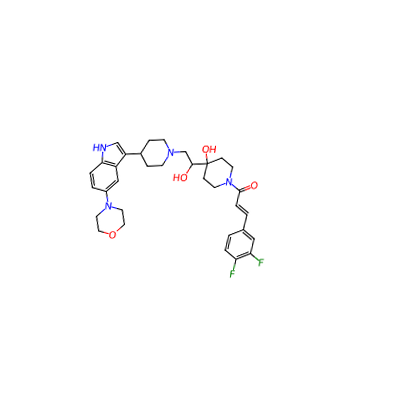 O=C(C=Cc1ccc(F)c(F)c1)N1CCC(O)(C(O)CN2CCC(c3c[nH]c4ccc(N5CCOCC5)cc34)CC2)CC1